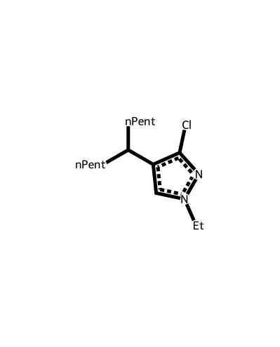 CCCCCC(CCCCC)c1cn(CC)nc1Cl